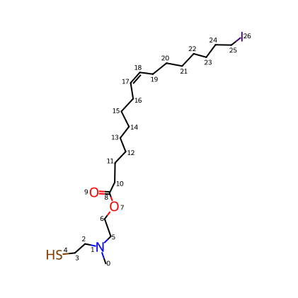 CN(CCS)CCOC(=O)CCCCCCC/C=C\CCCCCCCI